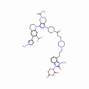 CC(=O)N1CCc2c(c(N3CCCc4cc(-c5cnn(C)c5)c(C(F)F)cc43)nn2C2CCN(C(=O)CCN3CCN(CCCc4cccc5c4n(C)c(=O)n5C4CCC(=O)NC4=O)CC3)CC2)C1